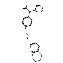 O=C(O)C(c1ccc(OCCc2ccc3c(n2)NCCC3)cc1)c1cnco1